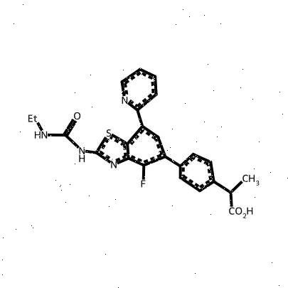 CCNC(=O)Nc1nc2c(F)c(-c3ccc(C(C)C(=O)O)cc3)cc(-c3ccccn3)c2s1